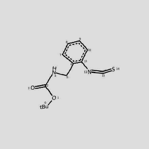 CC(C)(C)OC(=O)NCc1ccccc1N=C=S